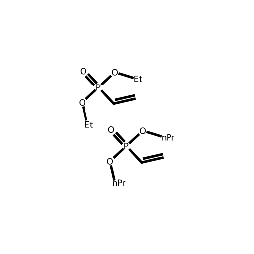 C=CP(=O)(OCC)OCC.C=CP(=O)(OCCC)OCCC